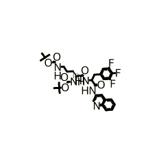 CC(C)(C)OC(=O)NCCC[C@H](NC(=O)OC(C)(C)C)C(=O)NC(Cc1cc(F)c(F)c(F)c1)C(=O)Nc1cnc2ccccc2c1